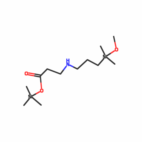 CO[Si](C)(C)CCCNCCC(=O)O[Si](C)(C)C